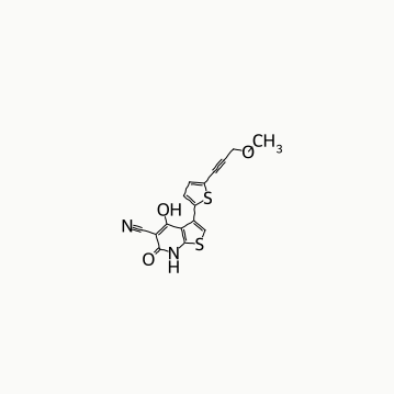 COCC#Cc1ccc(-c2csc3[nH]c(=O)c(C#N)c(O)c23)s1